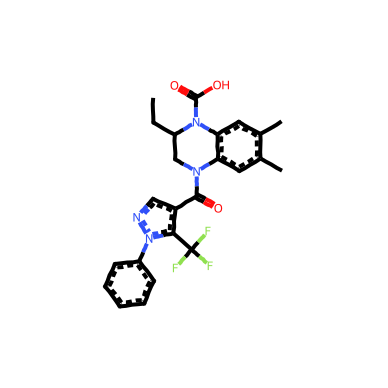 CCC1CN(C(=O)c2cnn(-c3ccccc3)c2C(F)(F)F)c2cc(C)c(C)cc2N1C(=O)O